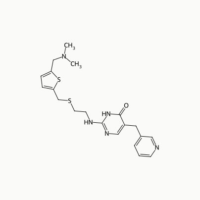 CN(C)Cc1ccc(CSCCNc2ncc(Cc3cccnc3)c(=O)[nH]2)s1